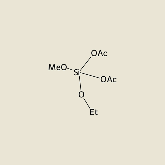 CCO[Si](OC)(OC(C)=O)OC(C)=O